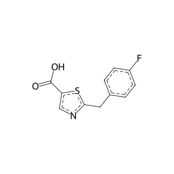 O=C(O)c1cnc(Cc2ccc(F)cc2)s1